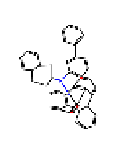 c1c(N(c2cccc(-c3ccccc3)c2)C2CCC3C=CC=CC3C2)cc2c(c#1)-c1cccc3c1C1C=CC=CC1c1cccc-3c1-2